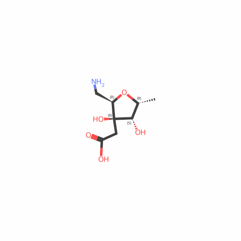 C[C@H]1O[C@H](CN)[C@@](O)(CC(=O)O)[C@H]1O